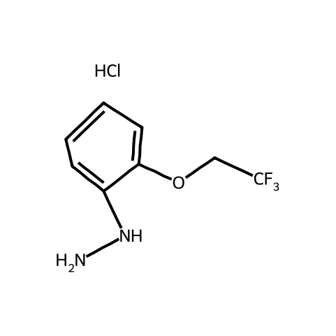 Cl.NNc1ccccc1OCC(F)(F)F